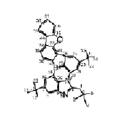 CC(C)(C)Cc1nc2cc(C(C)(C)C)cc3c2n1-c1cc(C(C)(C)C)cc2c1B3c1ccc3c(oc4ccccc43)c1-2